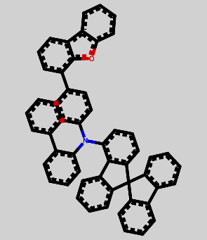 c1ccc(-c2ccccc2N(c2ccc(-c3cccc4c3oc3ccccc34)cc2)c2cccc3c2-c2ccccc2C32c3ccccc3-c3ccccc32)cc1